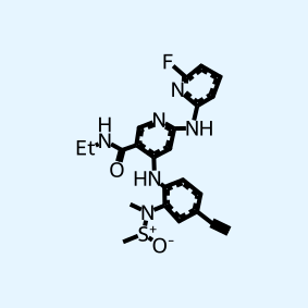 C#Cc1ccc(Nc2cc(Nc3cccc(F)n3)ncc2C(=O)NCC)c(N(C)[S+](C)[O-])c1